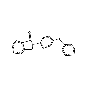 O=C1c2ccccc2CN1c1ccc(Oc2ccccc2)cc1